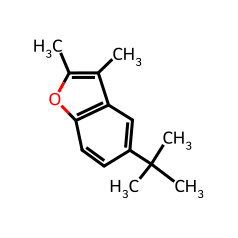 Cc1oc2ccc(C(C)(C)C)cc2c1C